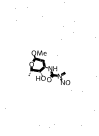 CO[C@H]1C[C@H](NC(=O)N(C)N=O)[C@H](O)[C@H](C)O1